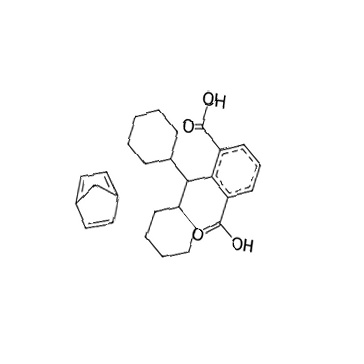 C1=CC2=CC=C1C2.O=C(O)c1cccc(C(=O)O)c1C(C1CCCCC1)C1CCCCC1